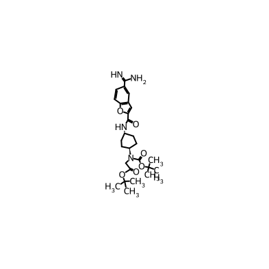 CC(C)(C)OC(=O)CN(C(=O)OC(C)(C)C)[C@H]1CC[C@H](NC(=O)c2cc3cc(C(=N)N)ccc3o2)CC1